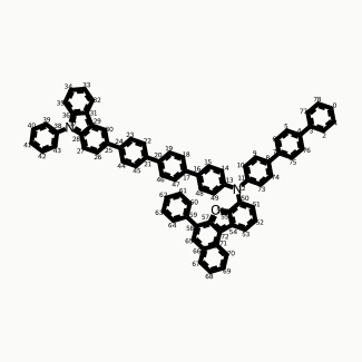 c1ccc(-c2ccc(-c3ccc(N(c4ccc(-c5ccc(-c6ccc(-c7ccc8c(c7)c7ccccc7n8-c7ccccc7)cc6)cc5)cc4)c4cccc5c4oc4c(-c6ccccc6)cc6ccccc6c45)cc3)cc2)cc1